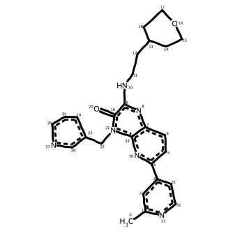 Cc1cc(-c2ccc3nc(NCCC4CCOCC4)c(=O)n(Cc4cccnc4)c3n2)ccn1